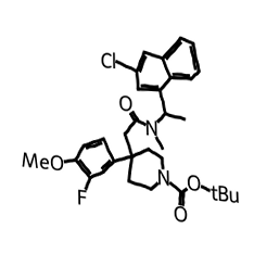 COc1ccc(C2(CC(=O)N(C)C(C)c3cc(Cl)cc4ccccc34)CCN(C(=O)OC(C)(C)C)CC2)cc1F